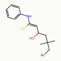 CC(=O)CC(C)(C)CC(O)/C=C(\S)Nc1ccccc1